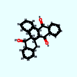 O=C1c2ccccc2C(=O)c2c1c1c(c3ccccc23)C(=O)c2ccccc2C1